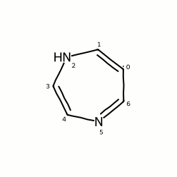 [C]1=CNC=CN=C1